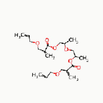 C=CCOCC(=C)C(=O)OCC(C)OCC(C)OC(=O)C(=C)COCC=C